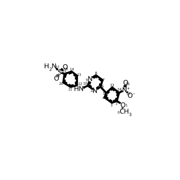 COc1ccc(-c2ccnc(Nc3ccc(S(N)(=O)=O)cc3)n2)cc1[N+](=O)[O-]